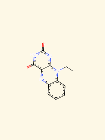 O=CCn1c2nc(=O)[nH]c(=O)c-2nc2ccccc21